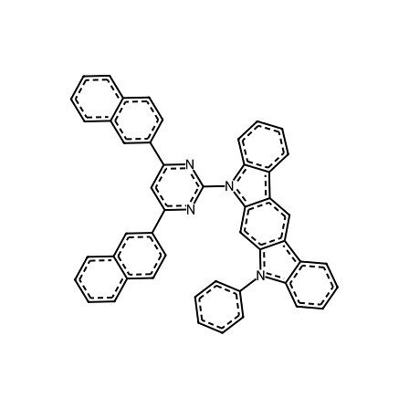 c1ccc(-n2c3ccccc3c3cc4c5ccccc5n(-c5nc(-c6ccc7ccccc7c6)cc(-c6ccc7ccccc7c6)n5)c4cc32)cc1